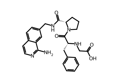 Nc1nccc2ccc(CNC(=O)[C@@H]3CCCN3C(=O)[C@@H](Cc3ccccc3)NCC(=O)O)cc12